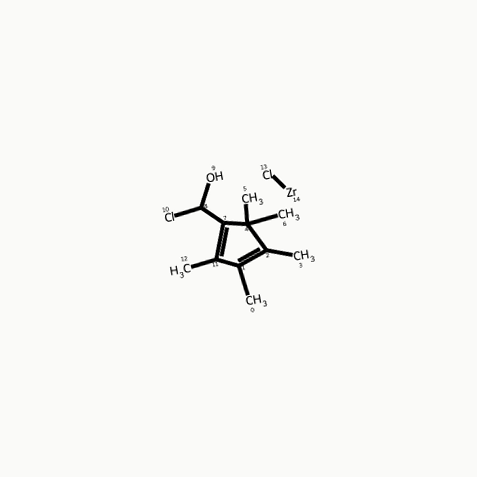 CC1=C(C)C(C)(C)C(C(O)Cl)=C1C.[Cl][Zr]